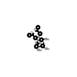 Cc1cc(C(C)(C)C)cc(C)c1N1c2cc(C(C)(C)C)cc3c2B(c2ccc(-c4coc5ccccc45)cc2N3c2cccc(-c3coc4ccccc34)c2)c2sc3ccc(C(C)(C)C)cc3c21